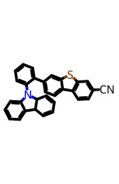 N#Cc1ccc2c(c1)sc1cc(-c3ccccc3N3c4ccccc4C4C=CC=CC43)ccc12